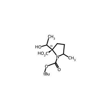 CC1CC[C@@](C(=O)O)(C(C)O)N1C(=O)OC(C)(C)C